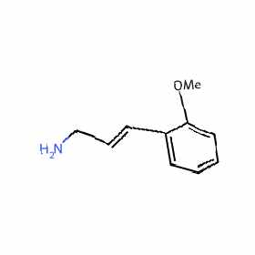 COc1ccccc1C=CCN